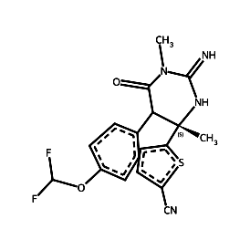 CN1C(=N)N[C@](C)(c2ccc(C#N)s2)C(c2ccc(OC(F)F)cc2)C1=O